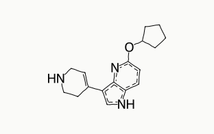 C1=C(c2c[nH]c3ccc(OC4CCCC4)nc23)CCNC1